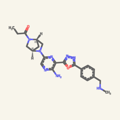 CCC(=O)N1C[C@H]2C[C@H]1CN2c1cnc(N)c(-c2nnc(-c3ccc(CNC)cc3)o2)n1